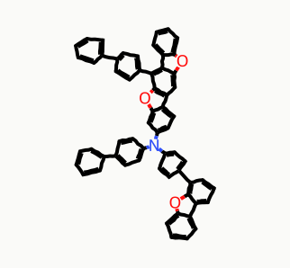 c1ccc(-c2ccc(-c3c4oc5cc(N(c6ccc(-c7ccccc7)cc6)c6ccc(-c7cccc8c7oc7ccccc78)cc6)ccc5c4cc4oc5ccccc5c34)cc2)cc1